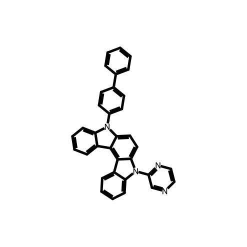 c1ccc(-c2ccc(-n3c4ccccc4c4c5c6ccccc6n(-c6cnccn6)c5ccc43)cc2)cc1